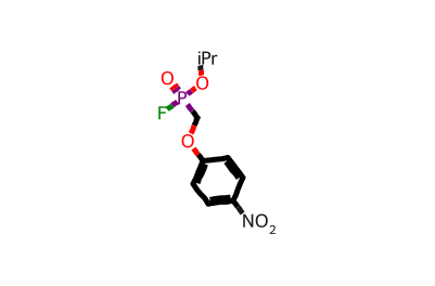 CC(C)OP(=O)(F)COc1ccc([N+](=O)[O-])cc1